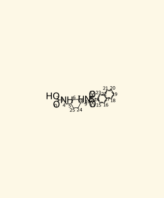 O=C(O)NC[C@H]1CC[C@H](CNS(=O)(=O)c2ccc3ccccc3c2)CC1